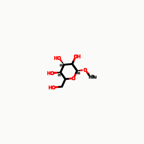 CCCCO[C@@H]1OC(CO)[C@@H](O)[C@H](O)C1O